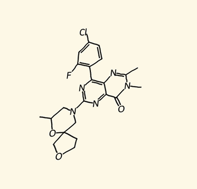 Cc1nc2c(-c3ccc(Cl)cc3F)nc(N3CC(C)OC4(CCOC4)C3)nc2c(=O)n1C